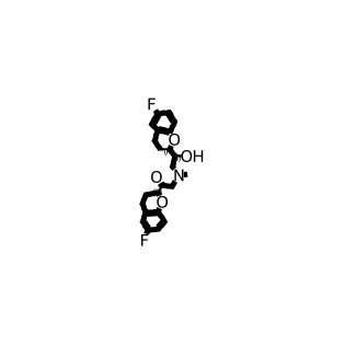 CN(CC(=O)[C@@H]1CCc2cc(F)ccc2O1)C[C@H](O)[C@H]1CCc2cc(F)ccc2O1